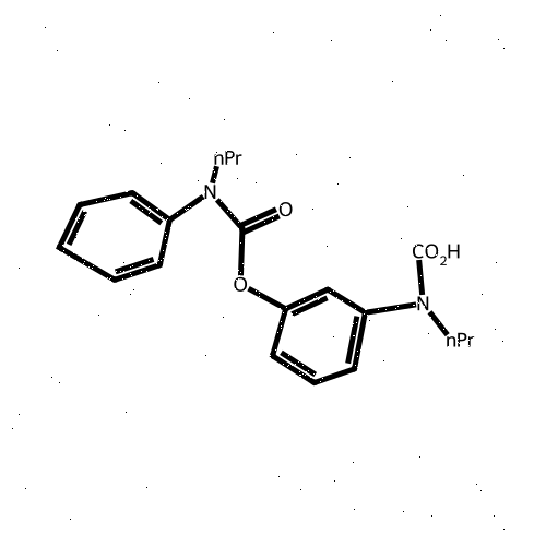 CCCN(C(=O)O)c1cccc(OC(=O)N(CCC)c2ccccc2)c1